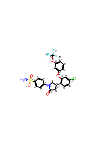 NS(=O)(=O)c1ccc(N2C[C@@H](c3ccc(Cl)cc3Oc3cccc(OC(F)(F)F)c3)CC2=O)cc1